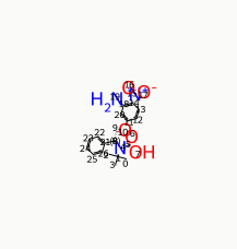 CC(C)(C)N(C(=O)O)[C@@H](COc1ccc([N+](=O)[O-])c(N)c1)c1ccccc1